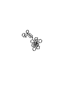 O=C(c1ccccn1)N1CCN(Cc2cccc(N(S(=O)(=O)c3ccccc3Cl)S(=O)(=O)c3ccccc3Cl)c2)CC1